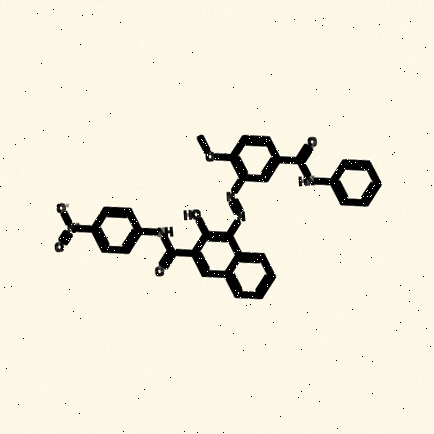 COc1ccc(C(=O)Nc2ccccc2)cc1N=Nc1c(O)c(C(=O)Nc2ccc([N+](=O)[O-])cc2)cc2ccccc12